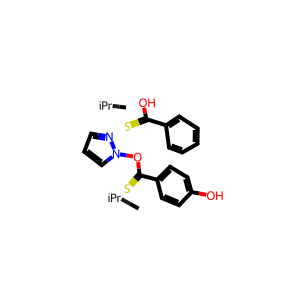 CC(C)C.CC(C)C.OC(=S)c1ccccc1.Oc1ccc(C(=S)On2cccn2)cc1